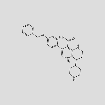 CC/C=C(\C(C(N)=O)=C1\NCC[C@@H](C2CCNCC2)N1C)c1ccc(OCc2ccccc2)cc1